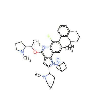 CC(=O)N1C(c2cc3c(OC(C)C4CCCN4C)nc4c(F)c(-c5cccc6c5C(C#N)CCC6)c(C)cc4c3n2C2C3CNC2C3)CC2CC21